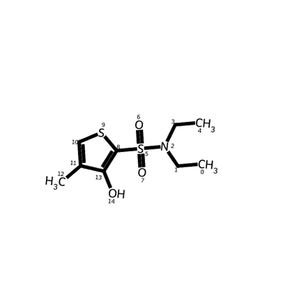 CCN(CC)S(=O)(=O)c1scc(C)c1O